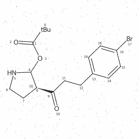 CC(C)(C)C(=O)OC1NCC[C@@H]1C(=O)CCc1ccc(Br)cc1